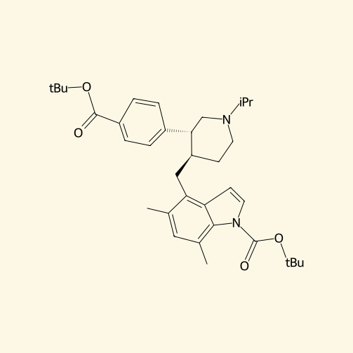 Cc1cc(C)c2c(ccn2C(=O)OC(C)(C)C)c1C[C@@H]1CCN(C(C)C)C[C@H]1c1ccc(C(=O)OC(C)(C)C)cc1